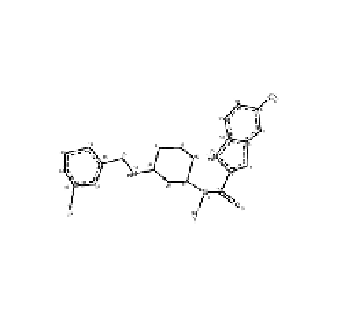 CCN(C(=O)c1cc2cc(C#N)ccc2[nH]1)C1CCCC(NCc2cccc(F)c2)C1